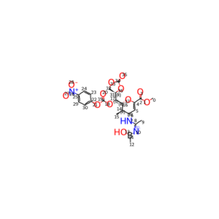 COC(=O)C1=C[C@H](N/C(C)=N\B(C)O)[C@@H](C)[C@H]([C@H](OC(=O)Oc2ccc([N+](=O)[O-])cc2)[C@H]2COC(=O)O2)O1